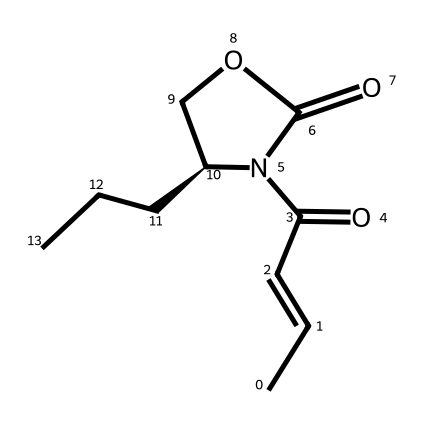 C/C=C/C(=O)N1C(=O)OC[C@@H]1CCC